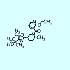 CCOc1ncccc1C(=O)N1C[C@H](c2nc(C(C)(C)O)c(C)o2)CC[C@H]1C